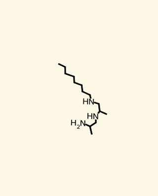 CCCCCCCCNCC(C)NCC(C)N